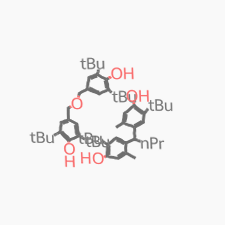 CC(C)(C)c1cc(COCc2cc(C(C)(C)C)c(O)c(C(C)(C)C)c2)cc(C(C)(C)C)c1O.CCCC(c1cc(C(C)(C)C)c(O)cc1C)c1cc(C(C)(C)C)c(O)cc1C